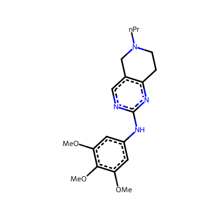 CCCN1CCc2nc(Nc3cc(OC)c(OC)c(OC)c3)ncc2C1